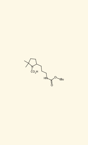 CC(C)(C)OC(=O)NCCCC1CCC(C)(C)N1C(=O)O